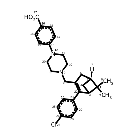 CC1(C)C2C[C@@H]1CC(CN1CCN(c3ccc(C(=O)O)cc3)CC1)=C2c1ccc(Cl)cc1